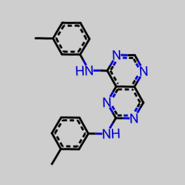 Cc1cccc(Nc2ncc3ncnc(Nc4cccc(C)c4)c3n2)c1